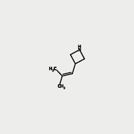 CC(C)=CC1CNC1